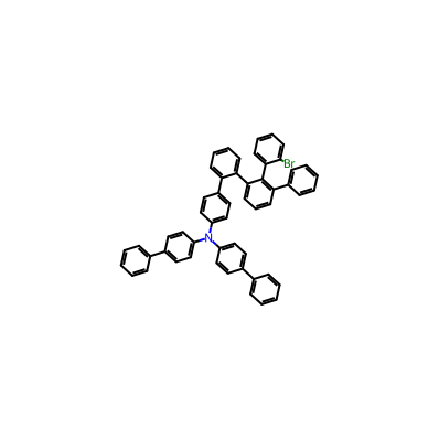 Brc1ccccc1-c1c(-c2ccccc2)cccc1-c1ccccc1-c1ccc(N(c2ccc(-c3ccccc3)cc2)c2ccc(-c3ccccc3)cc2)cc1